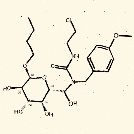 CCCCO[C@H]1O[C@H](C(O)N(Cc2ccc(OC)cc2)C(=O)NCCCl)[C@@H](O)[C@H](O)[C@H]1O